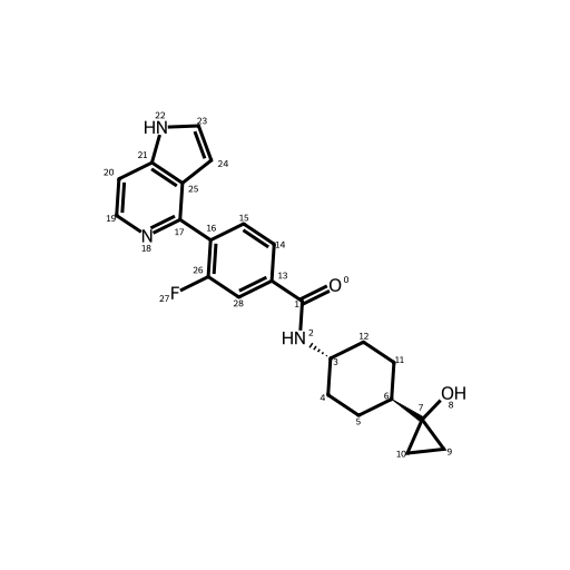 O=C(N[C@H]1CC[C@H](C2(O)CC2)CC1)c1ccc(-c2nccc3[nH]ccc23)c(F)c1